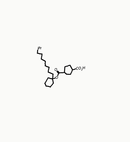 CC(C)CCCCCCCCC1(OC(=O)C2CCC(C(=O)O)CC2)CCCCC1